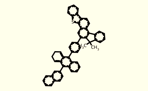 CC1(C)c2ccccc2-c2c1c(-c1ccc(-c3c4c(c(-c5ccc6ccccc6c5)c5ccccc35)=CCCC=4)cc1)cc1c2ccc2c3ccccc3sc12